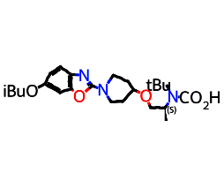 CC(C)COc1ccc2nc(N3CCC(OC[C@H](C)N(C(=O)O)C(C)(C)C)CC3)oc2c1